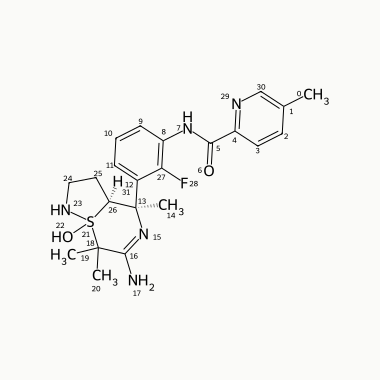 Cc1ccc(C(=O)Nc2cccc([C@@]3(C)N=C(N)C(C)(C)S4(O)NCC[C@@H]34)c2F)nc1